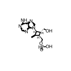 C=C1[C@@H](n2cnc3c(N)ncnc32)[C@H](CO)[C@H]1CO[PH](=O)O